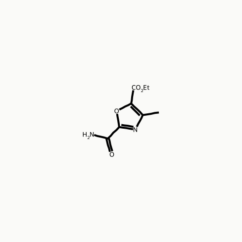 CCOC(=O)c1oc(C(N)=O)nc1C